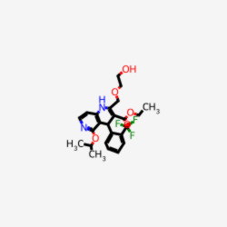 CCOC(=O)C1=C(COCCO)Nc2ccnc(OC(C)C)c2C1c1ccccc1C(F)(F)F